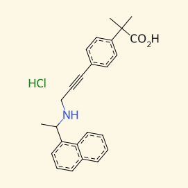 CC(NCC#Cc1ccc(C(C)(C)C(=O)O)cc1)c1cccc2ccccc12.Cl